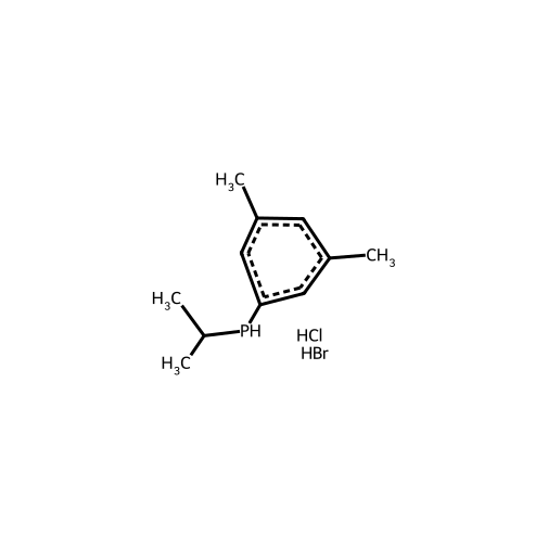 Br.Cc1cc(C)cc(PC(C)C)c1.Cl